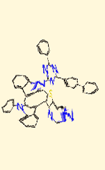 c1ccc(-c2ccc(-c3nc(-c4ccccc4)nc(-n4c5ccccc5c5c4c4sc6cncnc6c4c4c6ccccc6n(-c6ccccc6)c45)n3)cc2)cc1